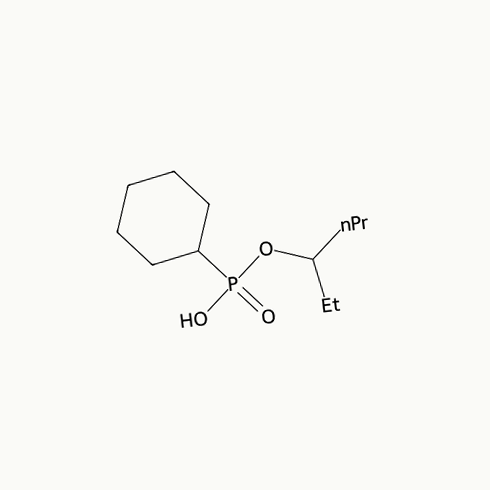 CCCC(CC)OP(=O)(O)C1CCCCC1